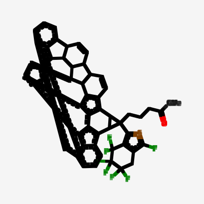 COC(=O)CCCC1(c2sc(F)c3c2C(F)(F)C(F)(F)C(F)(F)C3)C2c3c4c5c6c3c3c(c7ccc8c9ccc%10c%11c%12c%13c(c6c6c%13c(c%119)c8c7c36)=C3C5C(C=C4)C4C=CC%10C%12C34)C21